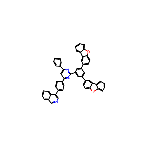 c1ccc(-c2cc(-c3ccc(-c4cncc5ccccc45)cc3)nc(-c3cc(-c4ccc5oc6ccccc6c5c4)cc(-c4ccc5oc6ccccc6c5c4)c3)n2)cc1